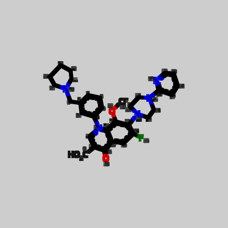 O=C(O)c1cn(-c2cccc(CN3CCCCC3)c2)c2c(OC(F)(F)F)c(N3CCN(c4ccccn4)CC3)c(F)cc2c1=O